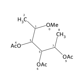 COC(C)C(OC(C)=O)C(OC(C)=O)C(C)OC(C)=O